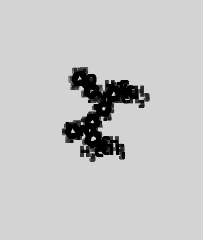 C[Si](C)(C)c1ccc2c(c1)c1cc(-c3ccc4c5cc([Si](C)(C)C)ccc5n(-c5ccc6c(c5)oc5ccccc56)c4c3)ccc1n2-c1ccccc1